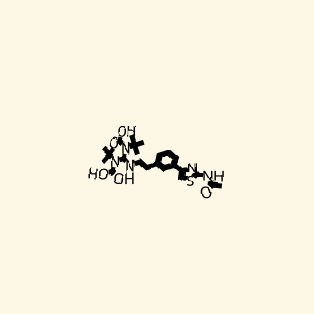 CC(=O)Nc1nc(-c2cccc(CCNC(N(C(=O)O)C(C)(C)C)N(C(=O)O)C(C)(C)C)c2)cs1